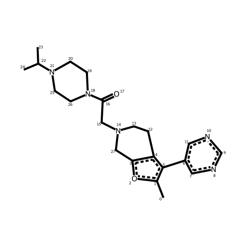 Cc1oc2c(c1-c1cncnc1)CCN(CC(=O)N1CCN(C(C)C)CC1)C2